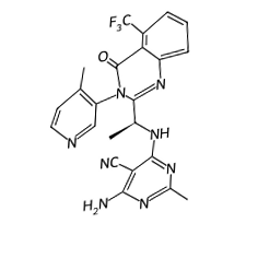 Cc1nc(N)c(C#N)c(N[C@@H](C)c2nc3cccc(C(F)(F)F)c3c(=O)n2-c2cnccc2C)n1